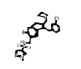 Cn1cc(S(=O)(=O)NCc2cc3c(cc2F)CC(CN2CCC2)C3Cc2cccc(Cl)c2)cn1